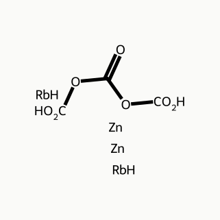 O=C(O)OC(=O)OC(=O)O.[RbH].[RbH].[Zn].[Zn]